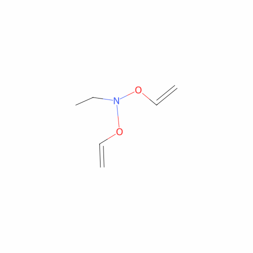 C=CON(CC)OC=C